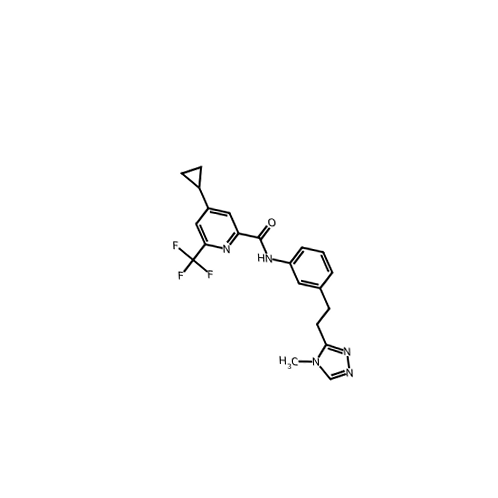 Cn1cnnc1CCc1cccc(NC(=O)c2cc(C3CC3)cc(C(F)(F)F)n2)c1